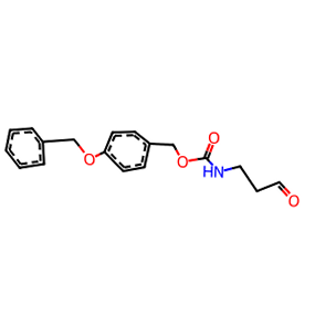 O=CCCNC(=O)OCc1ccc(OCc2ccccc2)cc1